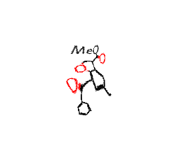 COC(=O)C1COc2c(C(=O)c3ccccc3)cc(C)cc21